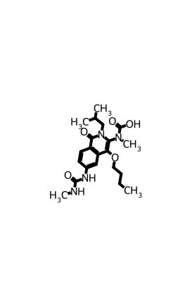 CCCCOc1c(N(C)C(=O)O)n(CC(C)C)c(=O)c2ccc(NC(=O)NC)cc12